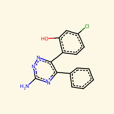 Nc1nnc(-c2ccc(Cl)cc2O)c(-c2ccccc2)n1